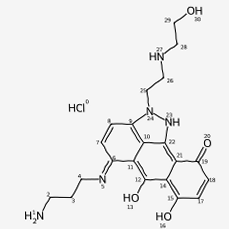 Cl.NCCCN=c1ccc2c3c1c(O)c1c(O)ccc(=O)c1c3[nH]n2CCNCCO